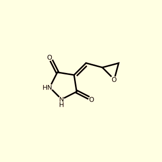 O=C1NNC(=O)C1=CC1CO1